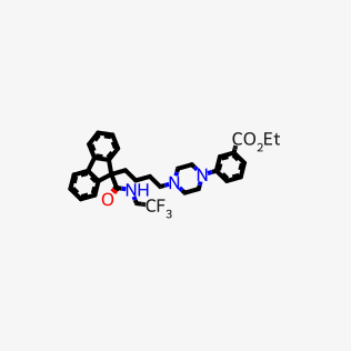 CCOC(=O)c1cccc(N2CCN(CCCCC3(C(=O)NCC(F)(F)F)c4ccccc4-c4ccccc43)CC2)c1